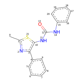 Cc1nc(-c2ccccc2)c(NC(=O)Nc2ccccc2)s1